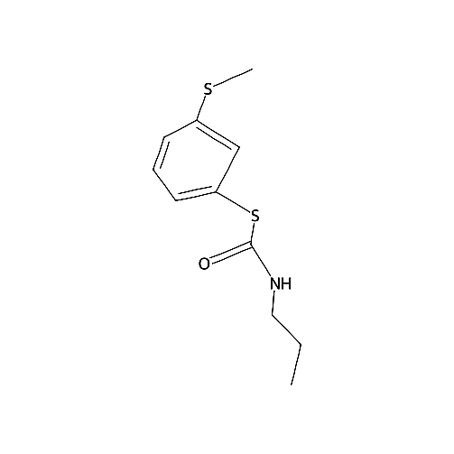 CCCNC(=O)Sc1cccc(SC)c1